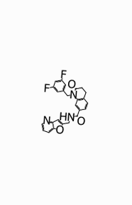 O=C(NCc1cc2ncccc2o1)c1ccc2c(c1)N(Cc1cc(F)cc(F)c1)C(=O)CC2